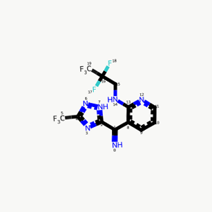 N=C(c1nc(C(F)(F)F)n[nH]1)c1cccnc1NCC(F)(F)C(F)(F)F